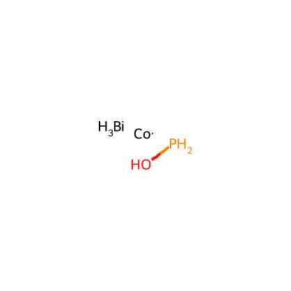 OP.[BiH3].[Co]